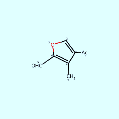 CC(=O)c1coc(C=O)c1C